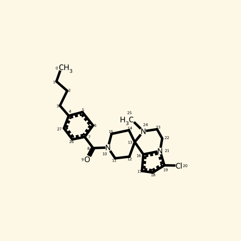 CCCCc1ccc(C(=O)N2CCC3(CC2)c2ccc(Cl)n2CCN3C)cc1